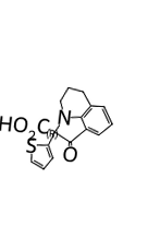 O=C(O)[C@@]1(c2cccs2)C(=O)c2cccc3c2N1CCC3